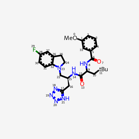 COc1cccc(C(=O)NC(CC(C)(C)C)C(=O)N[C@@H](Cc2nnn[nH]2)CN2CCc3cc(F)ccc32)c1